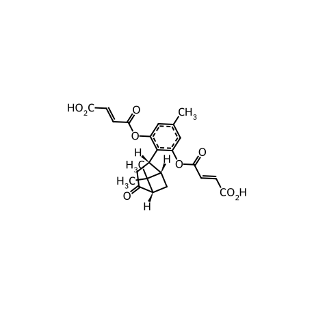 Cc1cc(OC(=O)/C=C/C(=O)O)c([C@H]2CC(=O)[C@H]3C[C@@H]2C3(C)C)c(OC(=O)/C=C/C(=O)O)c1